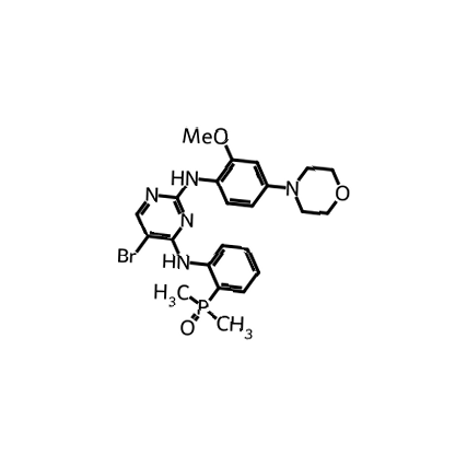 COc1cc(N2CCOCC2)ccc1Nc1ncc(Br)c(Nc2ccccc2P(C)(C)=O)n1